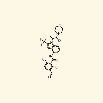 CC(C(=O)N1CCOCC1)n1c(C(F)(F)F)nc2c(NC(=O)c3c(Cl)ccc(C=O)c3Cl)cccc21